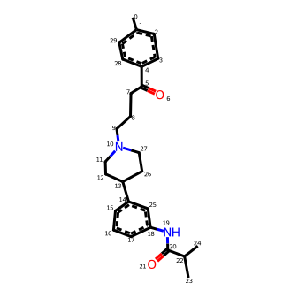 Cc1ccc(C(=O)CCCN2CCC(c3cccc(NC(=O)C(C)C)c3)CC2)cc1